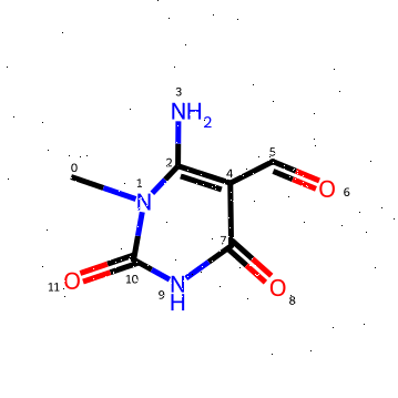 Cn1c(N)c(C=O)c(=O)[nH]c1=O